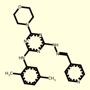 Cc1ccc(C)c(Nc2nc(N/N=C/c3ccncc3)nc(N3CCOCC3)n2)c1